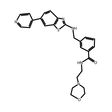 O=C(NCCN1CCOCC1)c1cccc(CNc2nc3ccc(-c4ccncc4)cc3s2)c1